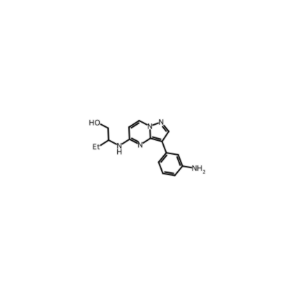 CCC(CO)Nc1ccn2ncc(-c3cccc(N)c3)c2n1